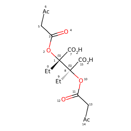 CC[C@@](OC(=O)CC(C)=O)(C(=O)O)[C@](CC)(OC(=O)CC(C)=O)C(=O)O